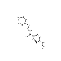 O=C(NCCN1CCOCC1)c1ccc(CO)cc1